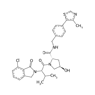 Cc1ncsc1-c1ccc(CNC(=O)[C@@H]2C[C@@H](O)CN2C(=O)C(C(C)C)N2Cc3cccc(Cl)c3C2=O)cc1